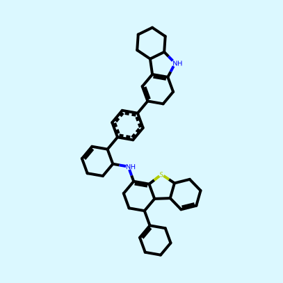 C1=CC(c2ccc(C3=CC4=C(CC3)NC3CCCCC43)cc2)C(NC2=C3SC4CCC=CC4C3C(C3=CCCCC3)CC2)CC1